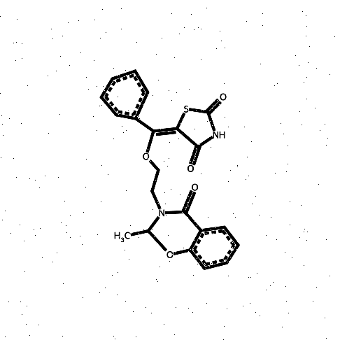 CC1Oc2ccccc2C(=O)N1CCOC(=C1SC(=O)NC1=O)c1ccccc1